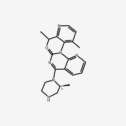 Cc1ccnc(C(C)C)c1-n1c(=O)nc(N2CCNC[C@@H]2C)c2cccnc21